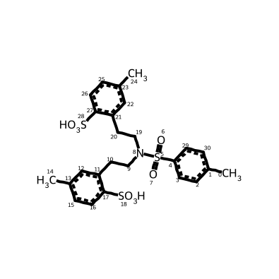 Cc1ccc(S(=O)(=O)N(CCc2cc(C)ccc2S(=O)(=O)O)CCc2cc(C)ccc2S(=O)(=O)O)cc1